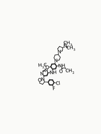 C=CC(=O)Nc1cc(Nc2cc(N3OCCC3c3ccc(Cl)c(F)c3)ncn2)c(OC)cc1N1CCC(N2CCC(N(C)C)C2)CC1